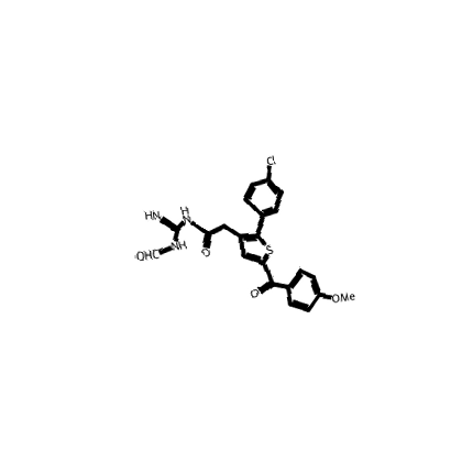 COc1ccc(C(=O)c2cc(CC(=O)NC(=N)N[C]=O)c(-c3ccc(Cl)cc3)s2)cc1